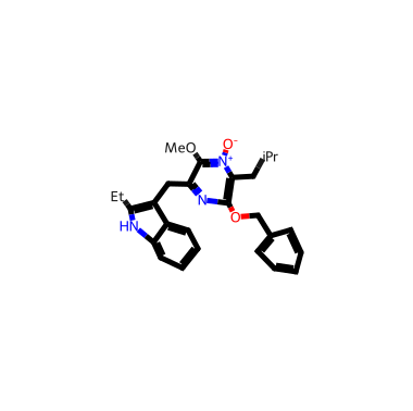 CCc1[nH]c2ccccc2c1Cc1nc(OCc2ccccc2)c(CC(C)C)[n+]([O-])c1OC